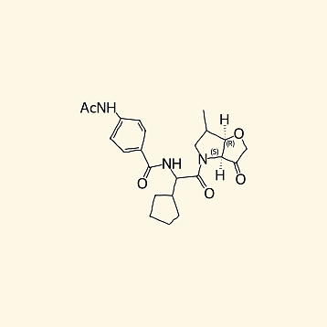 CC(=O)Nc1ccc(C(=O)NC(C(=O)N2CC(C)[C@H]3OCC(=O)[C@H]32)C2CCCC2)cc1